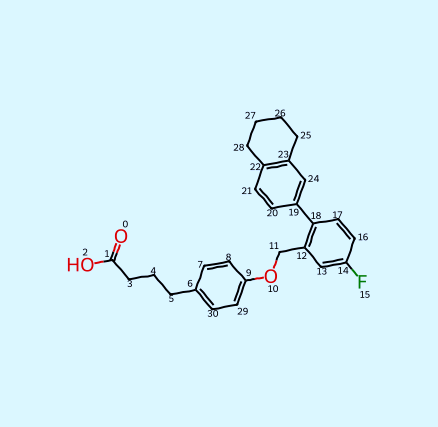 O=C(O)CCCc1ccc(OCc2cc(F)ccc2-c2ccc3c(c2)CCCC3)cc1